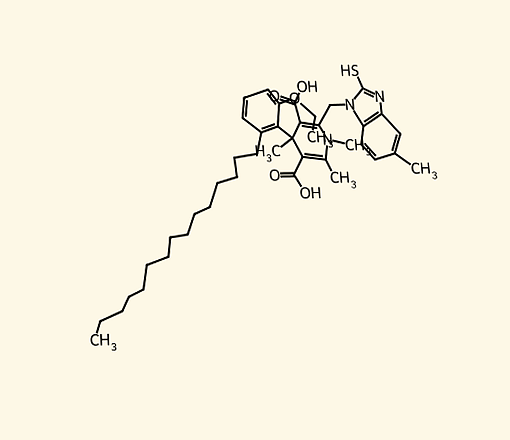 CCCCCCCCCCCCCCCc1cccc(OCC)c1C1(C)C(C(=O)O)=C(C)N(C)C(Cn2c(S)nc3cc(C)ccc32)=C1C(=O)O